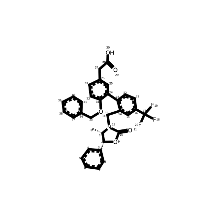 C[C@H]1[C@@H](c2ccccc2)OC(=O)N1Cc1cc(C(F)(F)F)ccc1-c1cc(CC(=O)O)ccc1OCc1ccccc1